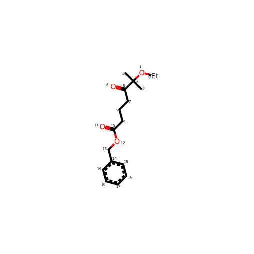 CCOC(C)(C)C(=O)CCCC(=O)OCc1ccccc1